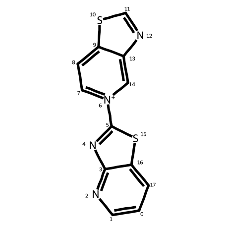 c1cnc2nc(-[n+]3ccc4scnc4c3)sc2c1